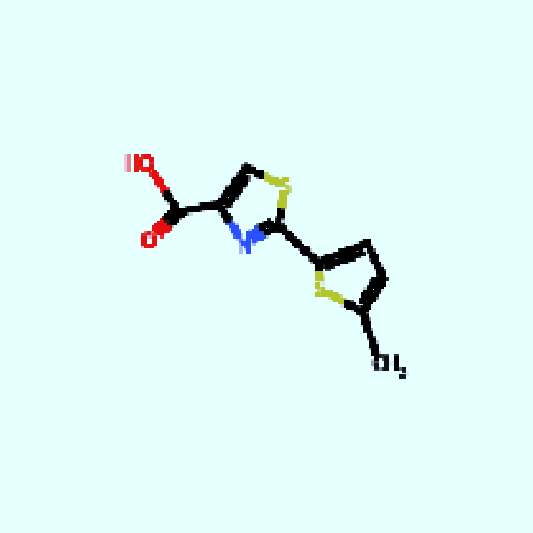 Cc1ccc(-c2nc(C(=O)O)cs2)s1